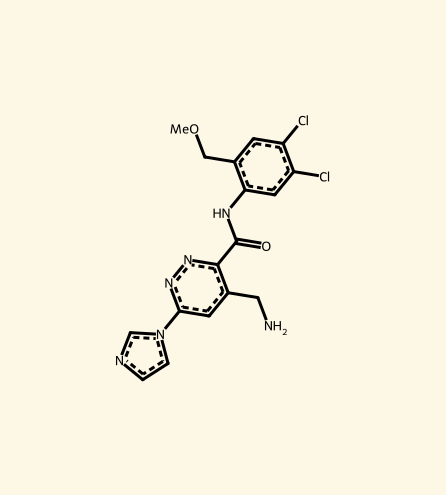 COCc1cc(Cl)c(Cl)cc1NC(=O)c1nnc(-n2ccnc2)cc1CN